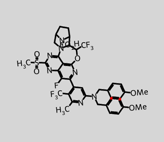 COc1ccc(CN(Cc2ccc(OC)cc2)c2cc(-c3nc4c5c(nc(S(C)(=O)=O)nc5c3F)N3CC5CCC(C3C(C(F)(F)F)O4)N5C(=O)O)c(C(F)(F)F)c(C)n2)cc1